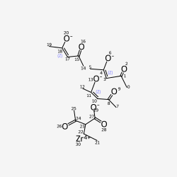 CC(=O)/C=C(/C)[O-].CC(=O)/C=C(/C)[O-].CC(=O)/C=C(/C)[O-].CCC(C(C)=O)C(=O)[O-].[Zr+4]